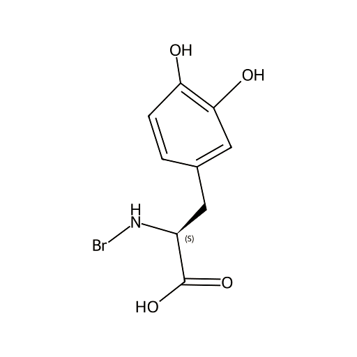 O=C(O)[C@H](Cc1ccc(O)c(O)c1)NBr